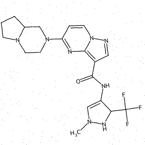 CN1C=C(NC(=O)c2cnn3ccc(N4CCN5CCCC5C4)nc23)C(C(F)(F)F)N1